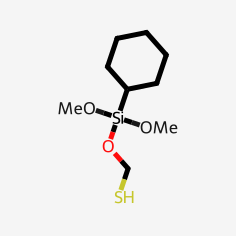 CO[Si](OC)(OCS)C1CCCCC1